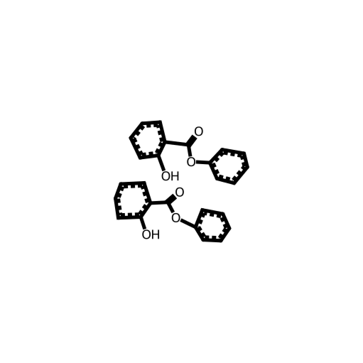 O=C(Oc1ccccc1)c1ccccc1O.O=C(Oc1ccccc1)c1ccccc1O